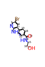 Nc1ncc(Br)cc1-c1ccc(C(=O)NCCO)cc1